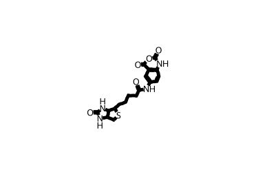 O=C(CCCCC1SCC2NC(=O)NC21)Nc1ccc2[nH]c(=O)oc(=O)c2c1